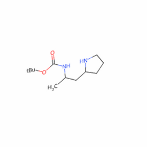 CC(CC1CCCN1)NC(=O)OC(C)(C)C